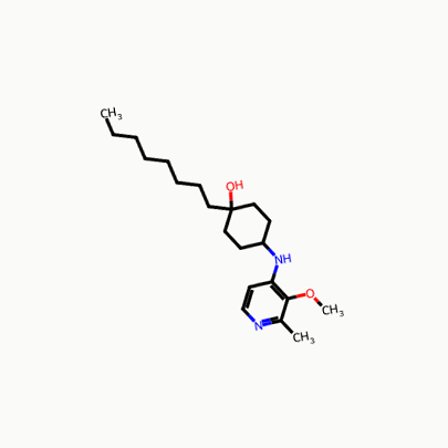 CCCCCCCCC1(O)CCC(Nc2ccnc(C)c2OC)CC1